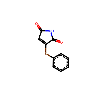 O=C1C=C(Sc2ccccc2)C(=O)N1